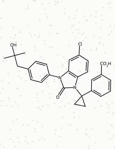 CC(C)(O)Cc1ccc(-n2c(=O)n(C3(c4cccc(C(=O)O)c4)CC3)c3ccc(Cl)cc32)cc1